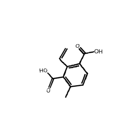 C=Cc1c(C(=O)O)ccc(C)c1C(=O)O